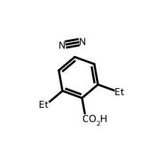 CCc1cccc(CC)c1C(=O)O.N#N